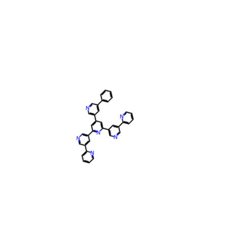 c1ccc(-c2cncc(-c3cc(-c4cncc(-c5ccccn5)c4)nc(-c4cncc(-c5ccccn5)c4)c3)c2)cc1